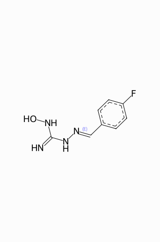 N=C(NO)N/N=C/c1ccc(F)cc1